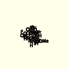 COC(=O)CC(NC(=O)[C@H](C)NC(=O)[C@@H](NC(=O)[C@H](CC(=O)OC)NC(=O)[C@@H](NC(=O)C(=O)Nc1ccccc1C(C)(C)C)C(C)C)C(C)C)C(=O)COc1c(F)cccc1F